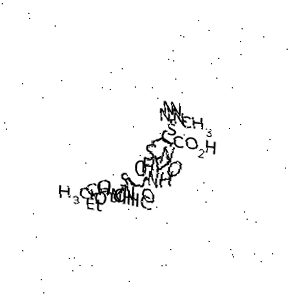 CCC(C)(C)OC(=O)Nc1nc(C(OC=O)C(=O)NC2C(=O)N3C(C(=O)O)=C(CSc4nnnn4C)CS[C@@H]23)cs1